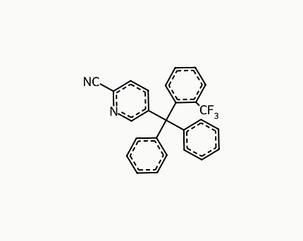 N#Cc1ccc(C(c2ccccc2)(c2ccccc2)c2ccccc2C(F)(F)F)cn1